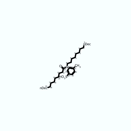 CCCCCCCCCCCCCCCCCCNC(=O)CCCCCCCCCCCCCCCCC.Cc1ccc(S(=O)(=O)O)cc1